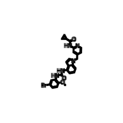 COc1ccc(Br)cc1NC(=O)Nc1cccc2c1ccn2Cc1ccnc(NC(=O)C2CC2)c1